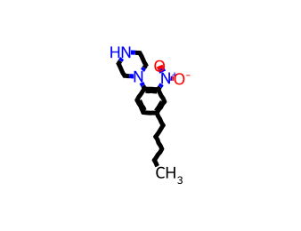 CCCCCc1ccc(N2CCNCC2)c([N+](=O)[O-])c1